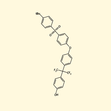 CC(C)(C)c1ccc(S(=O)(=O)c2ccc(Oc3ccc(C(c4ccc(O)cc4)(C(F)(F)F)C(F)(F)F)cc3)cc2)cc1